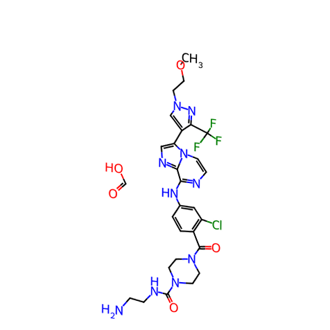 COCCn1cc(-c2cnc3c(Nc4ccc(C(=O)N5CCN(C(=O)NCCN)CC5)c(Cl)c4)nccn23)c(C(F)(F)F)n1.O=CO